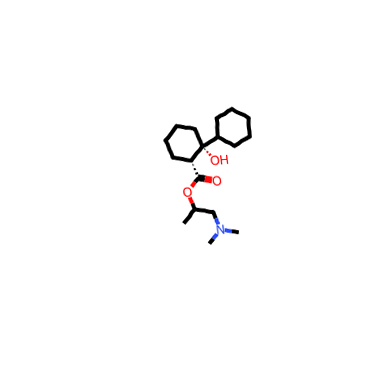 CC(CN(C)C)OC(=O)[C@@H]1CCCC[C@@]1(O)C1CCCCC1